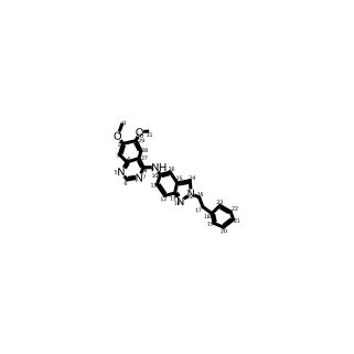 COc1cc2ncnc(Nc3ccc4nn(CCc5ccccc5)cc4c3)c2cc1OC